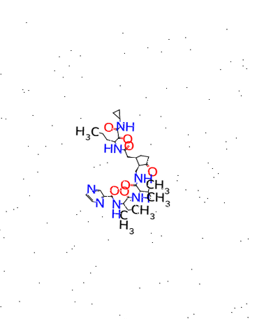 CCCC(NC(=O)C[C@H]1CCC(=O)[C@H]1CNC(=O)[C@@H](NC(=O)[C@H](NC(=O)c1cnccn1)C(C)C)C(C)C)C(=O)C(=O)NC1CC1